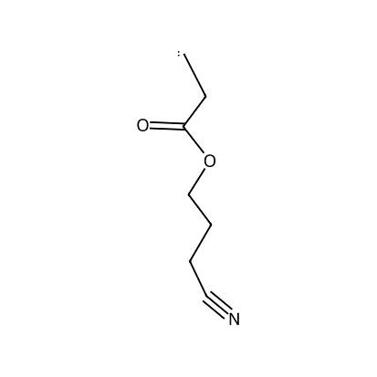 [CH]CC(=O)OCCCC#N